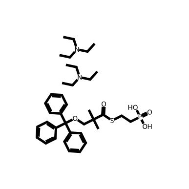 CC(C)(COC(c1ccccc1)(c1ccccc1)c1ccccc1)C(=O)SCCP(=O)(O)O.CCN(CC)CC.CCN(CC)CC